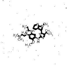 C=CC(=O)Nc1cc(Nc2ncc(C(C)C)c(-c3cn(C)c4ncccc34)n2)c(OC)cc1N(C)CCN(C)C